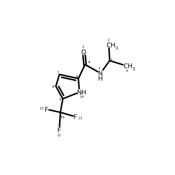 CC(C)NC(=O)c1ccc(C(F)(F)F)[nH]1